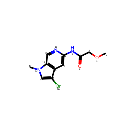 COCC(=O)Nc1cc2c(Br)cn(C)c2cn1